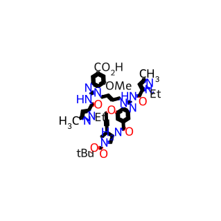 CCn1nc(C)cc1C(=O)Nc1nc2cc(C(=O)O)cc(OC)c2n1CC=CCn1c(NC(=O)c2cc(C)nn2CC)nc2cc(C(N)=O)cc(OCC#CC3CCN(C(=O)OC(C)(C)C)C3)c21